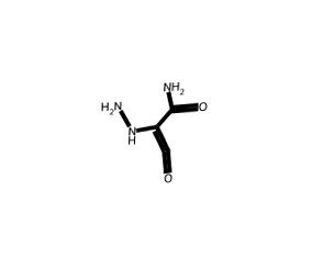 NNC(=C=O)C(N)=O